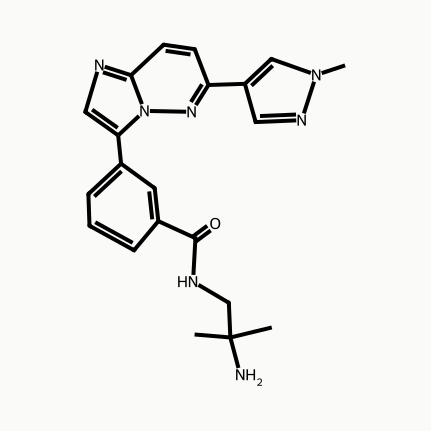 Cn1cc(-c2ccc3ncc(-c4cccc(C(=O)NCC(C)(C)N)c4)n3n2)cn1